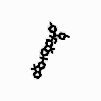 CCC(C)(c1ccc2c(c1)C(C)(C)c1cc(C(C)(C)c3ccc4c(c3)C(C)(C)c3ccccc3-4)ccc1-2)N(c1ccc(C)cc1)c1ccc(C)cc1